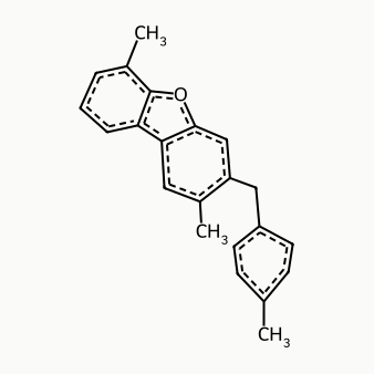 Cc1ccc(Cc2cc3oc4c(C)cccc4c3cc2C)cc1